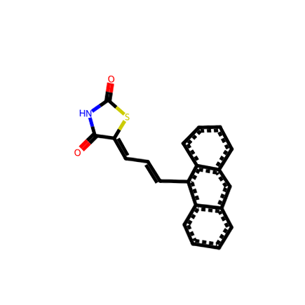 O=C1NC(=O)C(=CC=Cc2c3ccccc3cc3ccccc23)S1